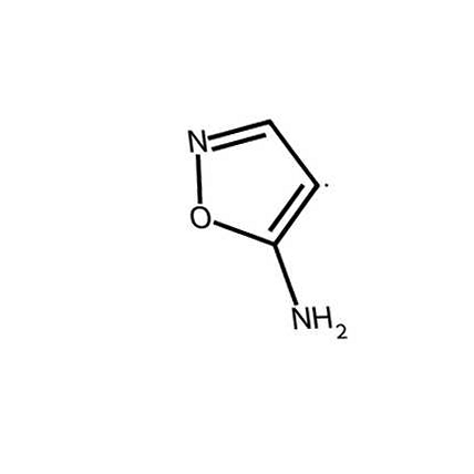 Nc1[c]cno1